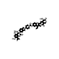 CCc1c2c(nc3ccc(OC(=O)N4CCC(N5Cc6ccc(N(C(=N)c7cc(C(C)C)c(O)cc7O)C(N)=O)cc6C5)CC4)cc13)-c1cc3c(c(=O)n1C2)COC(=O)[C@H]3O